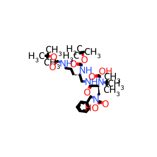 CC(C)(C)OC(=O)NCCC[C@@H](CNC(=O)[C@H](CN(Cc1ccccc1)C(=O)O)N(C(=O)O)C(C)(C)C)NC(=O)OC(C)(C)C